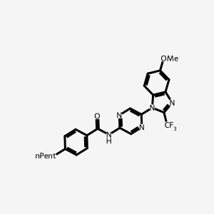 CCCCCc1ccc(C(=O)Nc2cnc(-n3c(C(F)(F)F)nc4cc(OC)ccc43)cn2)cc1